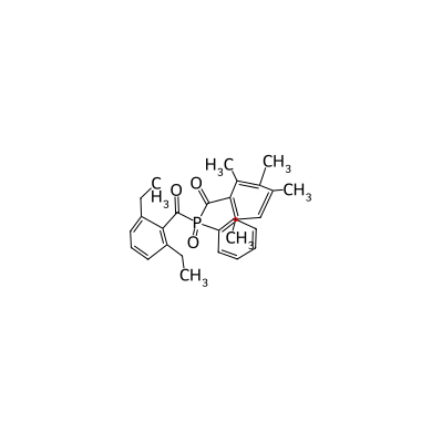 CCc1cccc(CC)c1C(=O)P(=O)(C(=O)c1c(C)cc(C)c(C)c1C)c1ccccc1